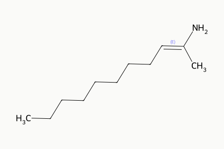 CCCCCCCC/C=C(\C)N